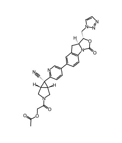 CC(=O)OCC(=O)N1C[C@@H]2[C@H](C1)[C@@]2(C#N)c1ccc(-c2ccc3c(c2)C[C@H]2[C@H](Cn4ccnn4)OC(=O)N32)cn1